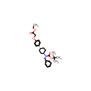 CCOC(=O)COc1ccc([C@H]2CC[C@H](N(Cc3ccccc3)C(=O)OC(C)(C)C)CC2)cc1